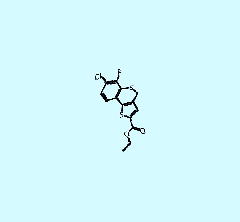 CCOC(=O)c1cc2c(s1)-c1ccc(Cl)c(F)c1SC2